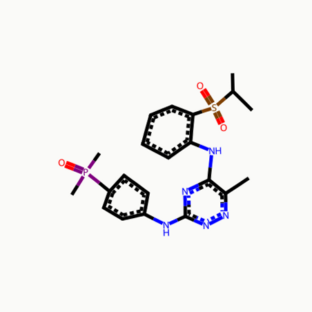 Cc1nnc(Nc2ccc(P(C)(C)=O)cc2)nc1Nc1ccccc1S(=O)(=O)C(C)C